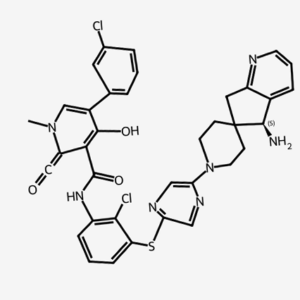 CN1C=C(c2cccc(Cl)c2)C(O)=C(C(=O)Nc2cccc(Sc3cnc(N4CCC5(CC4)Cc4ncccc4[C@H]5N)cn3)c2Cl)C1=C=O